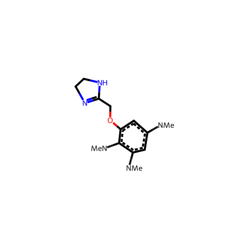 CNc1cc(NC)c(NC)c(OCC2=NCCN2)c1